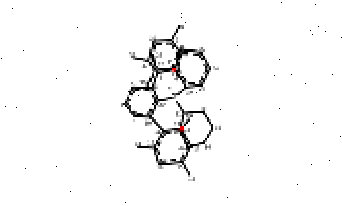 Cc1cc(C)c(-c2cccc(-c3c(C)cc(C)cc3C)c2P(c2ccccc2N(C)C)C2CCCCC2)c(C)c1